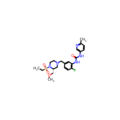 CCS(=O)(=O)N1CCN(Cc2ccc(F)c(NC(=O)Nc3ccc(C)nc3)c2)C[C@@H]1COC